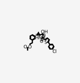 CC(=O)OCCc1cccc([C@@H]2CC2(NS(=O)(=O)c2ccc(-c3ccc(Cl)cc3)s2)C(=O)O)c1